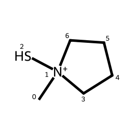 C[N+]1(S)CCCC1